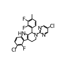 Cc1ccc(C2c3[nH]c4ccc(Cl)c(F)c4c3CCN2c2ncc(Cl)cn2)c(F)c1F